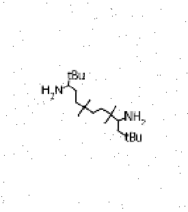 CC(C)(C)CC(N)C(C)(C)CCC(C)(C)CCC(N)C(C)(C)C